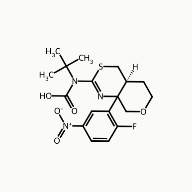 CC(C)(C)N(C(=O)O)C1=NC2(c3cc([N+](=O)[O-])ccc3F)COCC[C@@H]2CS1